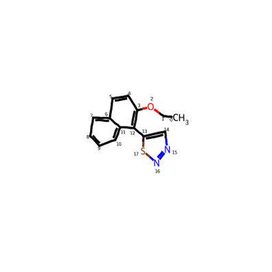 CCOc1ccc2ccccc2c1-c1[c]nns1